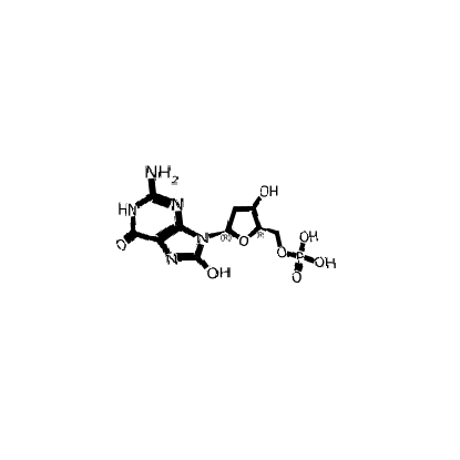 Nc1nc2c(nc(O)n2[C@H]2CC(O)[C@@H](COP(=O)(O)O)O2)c(=O)[nH]1